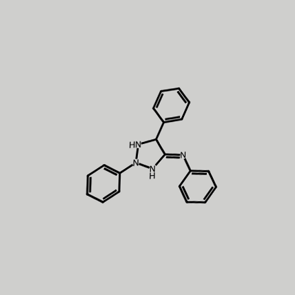 c1ccc(N=C2NN(c3ccccc3)NC2c2ccccc2)cc1